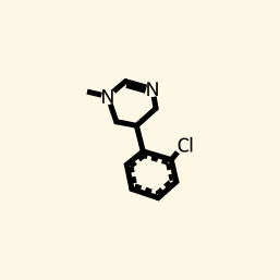 CN1C=NCC(c2ccccc2Cl)C1